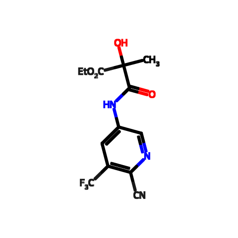 CCOC(=O)C(C)(O)C(=O)Nc1cnc(C#N)c(C(F)(F)F)c1